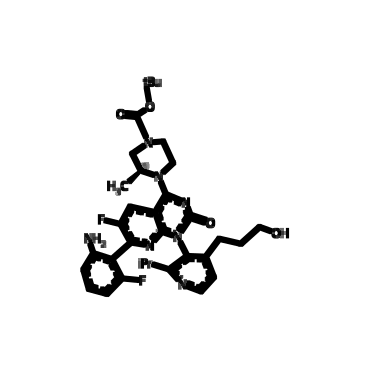 CC(C)c1nccc(CCCO)c1-n1c(=O)nc(N2CCN(C(=O)OC(C)(C)C)C[C@@H]2C)c2cc(F)c(-c3c(N)cccc3F)nc21